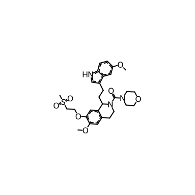 COc1ccc2[nH]cc(CCC3c4cc(OCCS(C)(=O)=O)c(OC)cc4CCN3C(=O)N3CCOCC3)c2c1